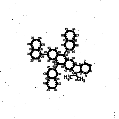 C[Si]1(C)c2ccccc2-c2cc3c(-c4ccc5ccccc5c4)c4ccc(-c5cccc6ccccc56)cc4c(-c4ccc5ccccc5c4)c3cc21